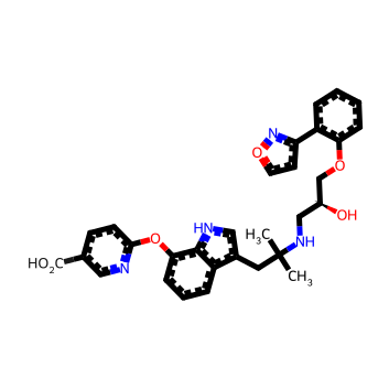 CC(C)(Cc1c[nH]c2c(Oc3ccc(C(=O)O)cn3)cccc12)NC[C@H](O)COc1ccccc1-c1ccon1